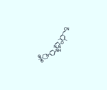 Cc1cc(/C=C/C#N)cc(C)c1Oc1ccnc(Nc2ccc(N3CCC(S(C)(=O)=O)CC3)cc2)n1